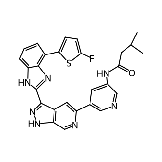 CC(C)CC(=O)Nc1cncc(-c2cc3c(-c4nc5c(-c6ccc(F)s6)cccc5[nH]4)n[nH]c3cn2)c1